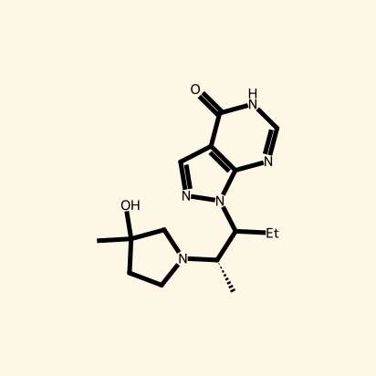 CCC([C@H](C)N1CCC(C)(O)C1)n1ncc2c(=O)[nH]cnc21